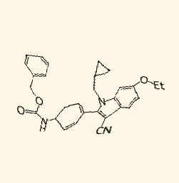 CCOc1ccc2c(C#N)c(C3=CCC(NC(=O)OCc4ccccc4)C=C3)n(CC3CC3)c2c1